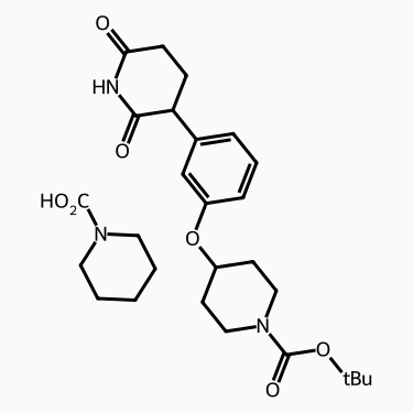 CC(C)(C)OC(=O)N1CCC(Oc2cccc(C3CCC(=O)NC3=O)c2)CC1.O=C(O)N1CCCCC1